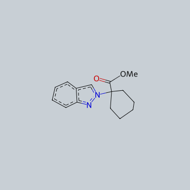 COC(=O)C1(n2cc3ccccc3n2)CCCCC1